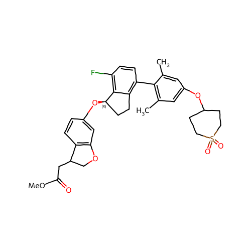 COC(=O)CC1COc2cc(O[C@@H]3CCc4c(-c5c(C)cc(OC6CCS(=O)(=O)CC6)cc5C)ccc(F)c43)ccc21